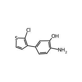 Nc1ccc(-c2ccsc2Cl)cc1O